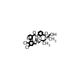 C[C@@H]1CN([C@H](C)CO)C(=O)c2cccc(NC(=O)c3ccncc3)c2O[C@@H]1CN(C)Cc1ccc(Cl)c(Cl)c1